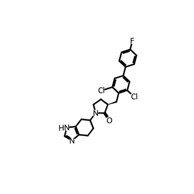 O=C1[C@H](Cc2c(Cl)cc(-c3ccc(F)cc3)cc2Cl)CCN1C1CCc2nc[nH]c2C1